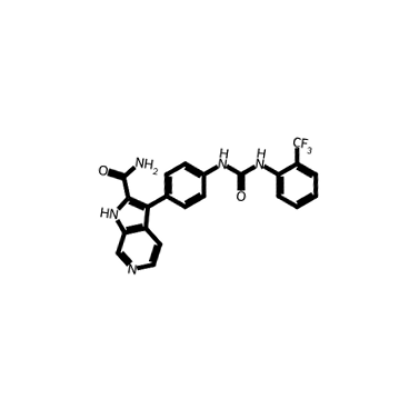 NC(=O)c1[nH]c2cnccc2c1-c1ccc(NC(=O)Nc2ccccc2C(F)(F)F)cc1